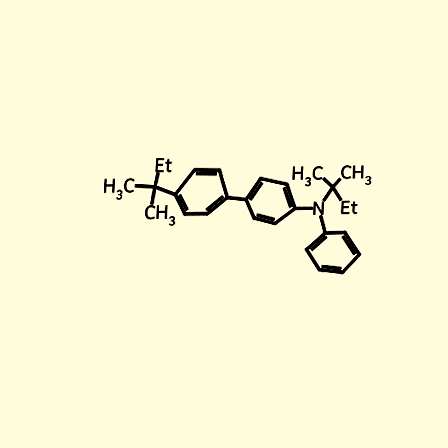 CCC(C)(C)c1ccc(-c2ccc(N(c3ccccc3)C(C)(C)CC)cc2)cc1